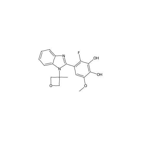 COc1cc(-c2nc3ccccc3n2C2(C)COC2)c(F)c(O)c1O